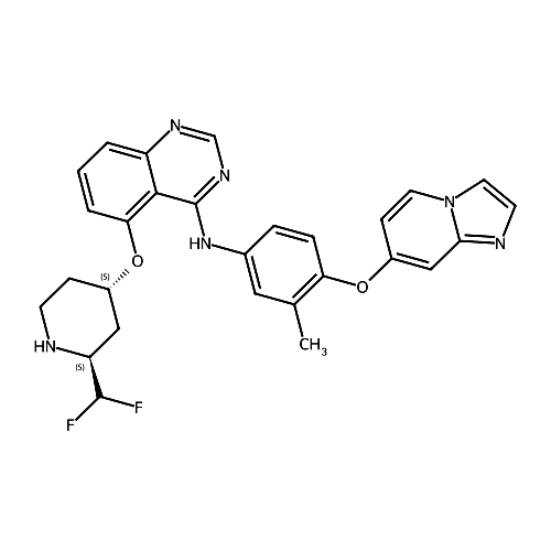 Cc1cc(Nc2ncnc3cccc(O[C@H]4CCN[C@H](C(F)F)C4)c23)ccc1Oc1ccn2ccnc2c1